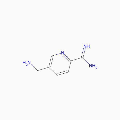 N=C(N)c1ccc(CN)cn1